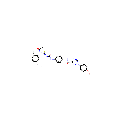 Cc1ccc(C(C)C)c(N2C(=O)CS/C2=N\C(=O)Nc2ccc(NC(=O)c3ncn(-c4ccc(OC(F)(F)F)cc4)n3)cc2)c1